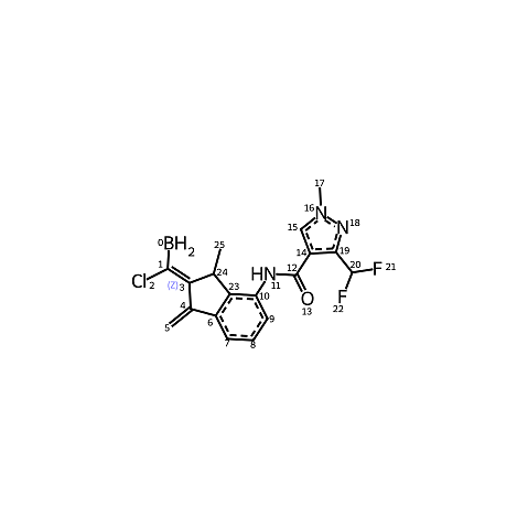 B/C(Cl)=C1/C(=C)c2cccc(NC(=O)c3cn(C)nc3C(F)F)c2C1C